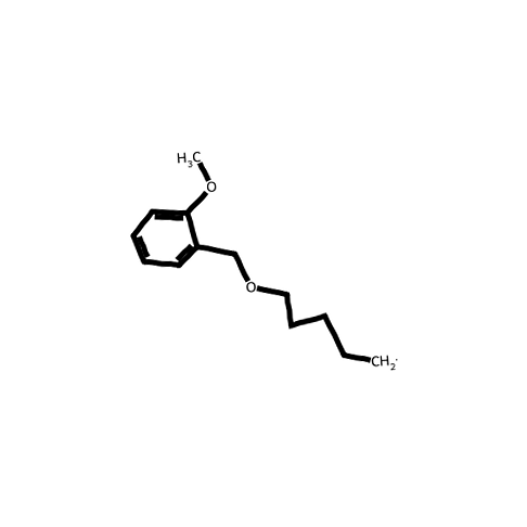 [CH2]CCCCOCc1ccccc1OC